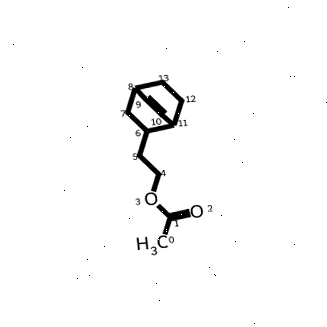 CC(=O)OCCC1CC2C=CC1CC2